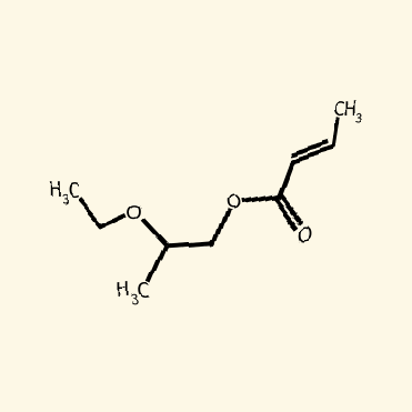 CC=CC(=O)OCC(C)OCC